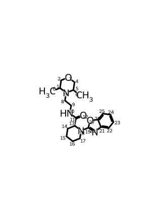 CC1COCC(C)N1CCNC(=O)[C@@H]1CCCCN1c1nc2ccccc2o1